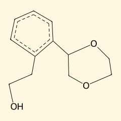 OCCc1ccccc1C1COCCO1